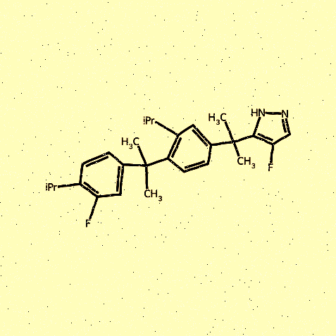 CC(C)c1ccc(C(C)(C)c2ccc(C(C)(C)c3[nH]ncc3F)cc2C(C)C)cc1F